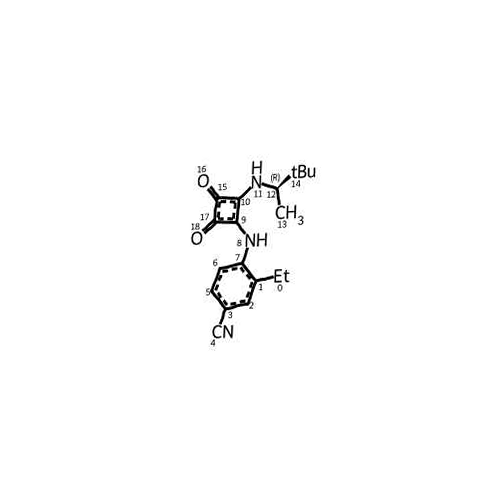 CCc1cc(C#N)ccc1Nc1c(N[C@H](C)C(C)(C)C)c(=O)c1=O